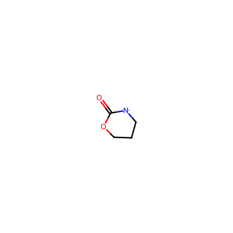 O=C1[N]CCCO1